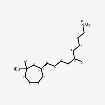 CCC(C)C1(C)CCCC[C@H](CCCCC(C)CCCCNC)C1